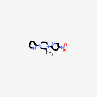 C[C@H]1CN(c2ccccn2)CCN1c1ccc([N+](=O)[O-])cn1